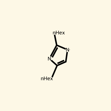 CCCCCCC1=C[N]C(CCCCCC)=N1